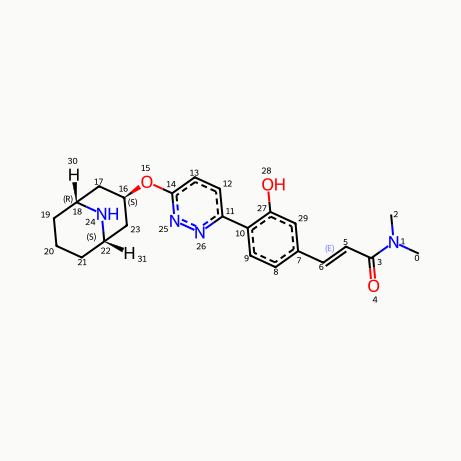 CN(C)C(=O)/C=C/c1ccc(-c2ccc(O[C@@H]3C[C@H]4CCC[C@@H](C3)N4)nn2)c(O)c1